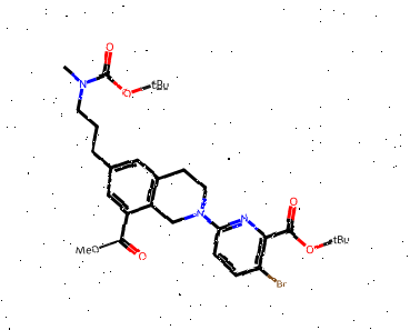 COC(=O)c1cc(CCCN(C)C(=O)OC(C)(C)C)cc2c1CN(c1ccc(Br)c(C(=O)OC(C)(C)C)n1)CC2